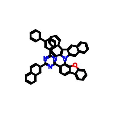 C1=CC2C=Cc3c(c4cc5ccccc5cc4n3-c3c(-c4nc(-c5cccc(-c6ccccc6)c5)nc(-c5ccc6ccccc6c5)n4)ccc4c3oc3ccccc34)C2C=C1